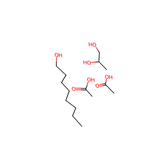 CC(=O)O.CC(=O)O.CC(O)CO.CCCCCCCCO